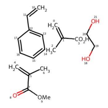 C=C(C)C(=O)O.C=C(C)C(=O)OC.C=Cc1ccccc1.OCCO